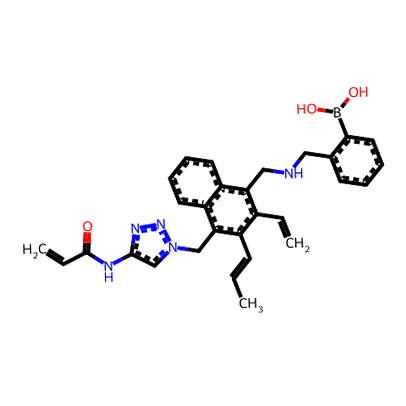 C=CC(=O)Nc1cn(Cc2c(C=CC)c(C=C)c(CNCc3ccccc3B(O)O)c3ccccc23)nn1